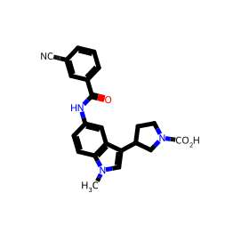 Cn1cc(C2CCN(C(=O)O)C2)c2cc(NC(=O)c3cccc(C#N)c3)ccc21